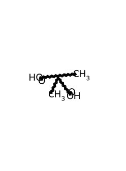 CCCCC/C=C/CCC(CCCCCCCC(=O)O)C(CCCCCCCC)CCCCCCCCC(=O)O